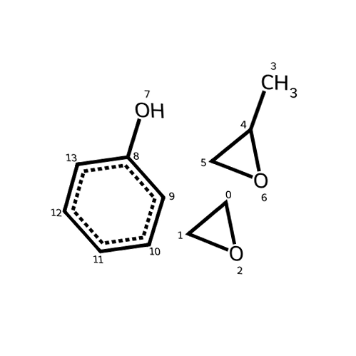 C1CO1.CC1CO1.Oc1ccccc1